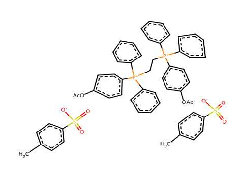 CC(=O)Oc1ccc([P+](CC[P+](c2ccccc2)(c2ccccc2)c2ccc(OC(C)=O)cc2)(c2ccccc2)c2ccccc2)cc1.Cc1ccc(S(=O)(=O)[O-])cc1.Cc1ccc(S(=O)(=O)[O-])cc1